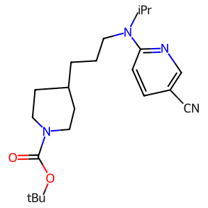 CC(C)N(CCCC1CCN(C(=O)OC(C)(C)C)CC1)c1ccc(C#N)cn1